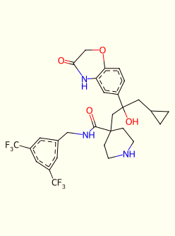 O=C1COc2ccc(C(O)(CC3CC3)CC3(C(=O)NCc4cc(C(F)(F)F)cc(C(F)(F)F)c4)CCNCC3)cc2N1